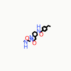 CCc1ccc(C(=O)NC2CCc3nn(CC(=O)NC)c(=O)cc3C2)cc1